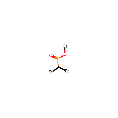 CCO[PH](=O)C(CC)CC